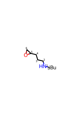 CCC(C)NCCCC1CO1